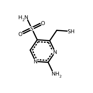 Nc1ncc(S(N)(=O)=O)c(CS)n1